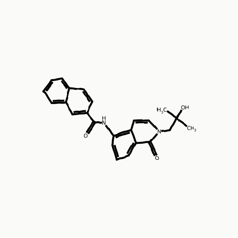 CC(C)(O)Cn1ccc2c(NC(=O)c3ccc4ccccc4c3)cccc2c1=O